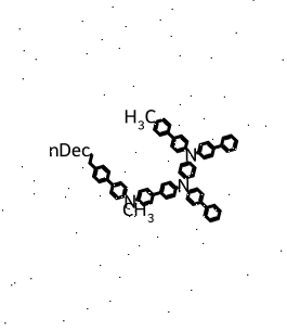 CCCCCCCCCCCCc1ccc(-c2ccc(N(C)c3ccc(-c4ccc(N(c5ccc(-c6ccccc6)cc5)c5ccc(N(c6ccc(-c7ccccc7)cc6)c6ccc(-c7ccc(C)cc7)cc6)cc5)cc4)cc3)cc2)cc1